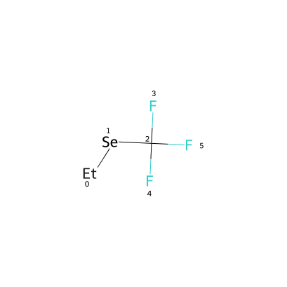 CC[Se]C(F)(F)F